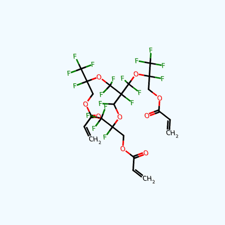 C=CC(=O)OCC(F)(OC(F)C(F)(C(F)(F)OC(F)(COC(=O)C=C)C(F)(F)F)C(F)(F)OC(F)(COC(=O)C=C)C(F)(F)F)C(F)(F)F